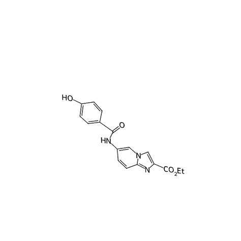 CCOC(=O)c1cn2cc(NC(=O)c3ccc(O)cc3)ccc2n1